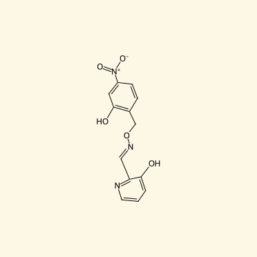 O=[N+]([O-])c1ccc(CON=Cc2ncccc2O)c(O)c1